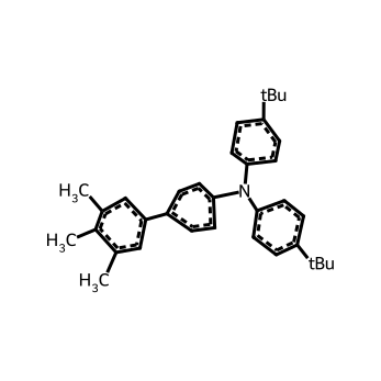 Cc1cc(-c2ccc(N(c3ccc(C(C)(C)C)cc3)c3ccc(C(C)(C)C)cc3)cc2)cc(C)c1C